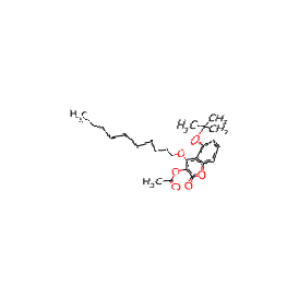 CCCCCCCCCCOc1c(OC(C)=O)c(=O)oc2cccc(OC(C)(C)C)c12